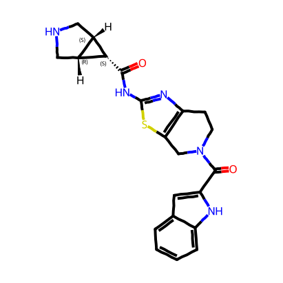 O=C(Nc1nc2c(s1)CN(C(=O)c1cc3ccccc3[nH]1)CC2)[C@@H]1[C@@H]2CNC[C@@H]21